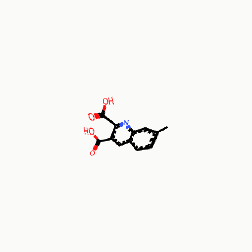 Cc1ccc2cc(C(=O)O)c(C(=O)O)nc2c1